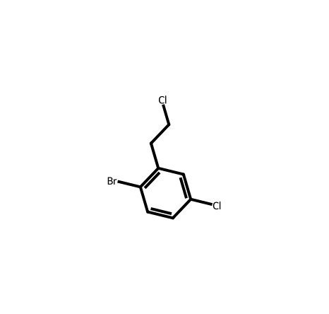 ClCCc1cc(Cl)ccc1Br